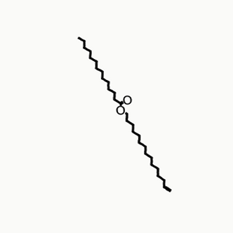 C=CCCCCCCCCCCCCCOC(=O)CCCCCCCCCCCCC